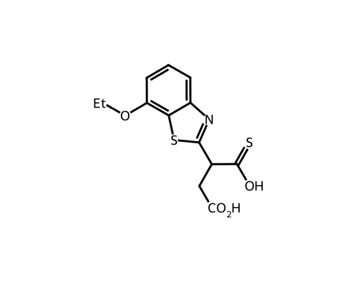 CCOc1cccc2nc(C(CC(=O)O)C(O)=S)sc12